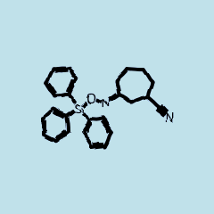 N#CC1CCCC/C(=N\O[Si](c2ccccc2)(c2ccccc2)c2ccccc2)C1